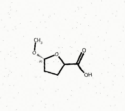 CO[C@H]1CCC(C(=O)O)O1